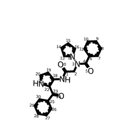 O=C(CN(C(=O)c1ccccc1)n1cccc1)Nc1cc[nH]c1C(=O)c1ccccc1